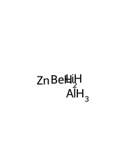 [AlH3].[BeH2].[LiH].[Zn]